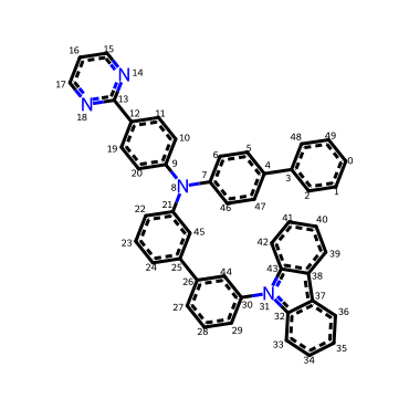 c1ccc(-c2ccc(N(c3ccc(-c4ncccn4)cc3)c3cccc(-c4cccc(-n5c6ccccc6c6ccccc65)c4)c3)cc2)cc1